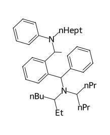 CCCCCCCN(c1ccccc1)C(C)c1ccccc1C(c1ccccc1)N(C(CC)CCCC)C(CCC)CCC